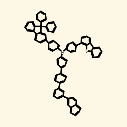 c1ccc(C2(c3ccccc3)c3ccccc3-c3ccc(-c4ccc(N(c5ccc(-c6ccc(-c7cccc(-c8ccc9ccccc9c8)c7)cc6)cc5)c5ccc(-c6cccc7c6sc6ccccc67)cc5)cc4)cc32)cc1